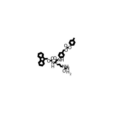 Cc1ccc(OC(=O)OCc2ccc(NC(=O)[C@H](CCCNC(N)=O)NC(=O)OCC3c4ccccc4-c4ccccc43)cc2)cc1